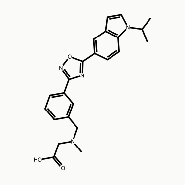 CC(C)n1ccc2cc(-c3nc(-c4cccc(CN(C)CC(=O)O)c4)no3)ccc21